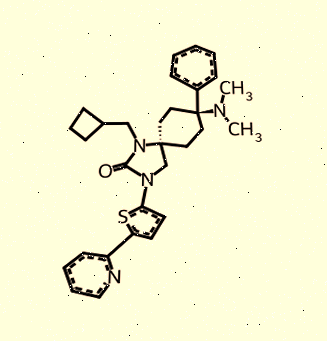 CN(C)[C@]1(c2ccccc2)CC[C@]2(CC1)CN(c1ccc(-c3ccccn3)s1)C(=O)N2CC1CCC1